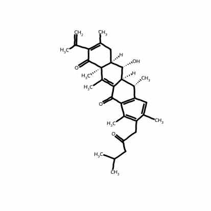 C=C(C)C1=C(C)C[C@H]2[C@H](O)[C@@H]3C(=C(C)[C@@]2(C)C1=O)C(=O)c1c(cc(C)c(CC(=O)CC(C)C)c1C)[C@H]3C